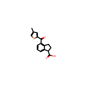 Cc1csc(C(=O)c2cccc3c2CCC3C(=O)O)c1